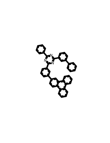 c1ccc(-c2cccc(-c3nc(-c4ccccc4)nc(-c4cccc(-c5ccc6c7ccccc7c7ccccc7c6c5)c4)n3)c2)cc1